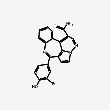 NC(=O)c1cnn2ccc3c2c1-c1ccccc1N=C3c1ccc(O)c(Br)c1